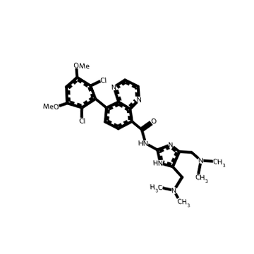 COc1cc(OC)c(Cl)c(-c2ccc(C(=O)Nc3nc(CN(C)C)c(CN(C)C)[nH]3)c3nccnc23)c1Cl